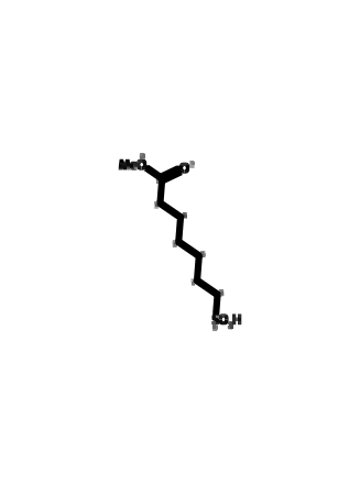 COC(=O)CCCCCCS(=O)(=O)O